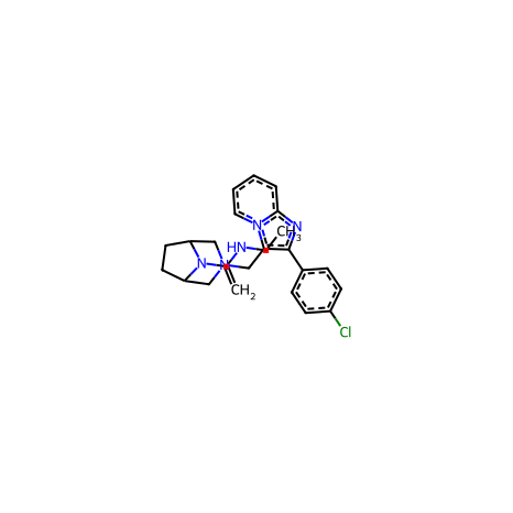 C=C(NCC)N1C2CCC1CN(Cc1c(-c3ccc(Cl)cc3)nc3ccccn13)C2